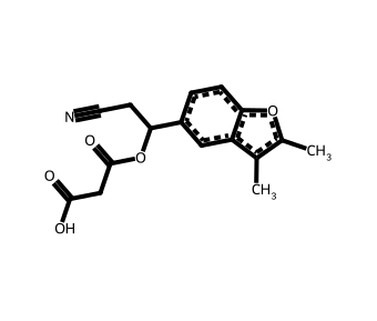 Cc1oc2ccc(C(CC#N)OC(=O)CC(=O)O)cc2c1C